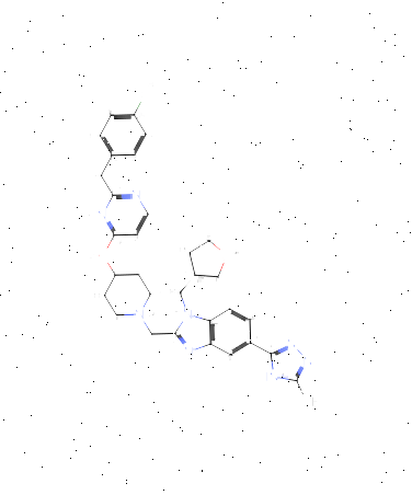 FC(F)(F)c1nnc(-c2ccc3c(c2)nc(CN2CCC(Oc4ccnc(Cc5ccc(Cl)cc5)n4)CC2)n3C[C@H]2CCOC2)[nH]1